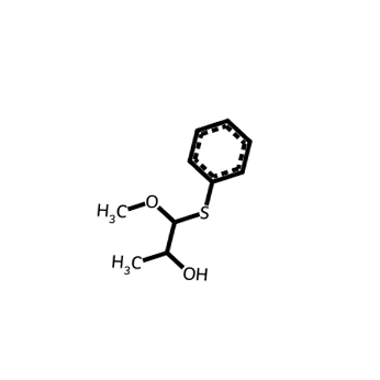 COC(Sc1ccccc1)C(C)O